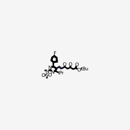 CC(C)c1nc(N(C)S(C)(=O)=O)nc(-c2ccc(F)cc2)c1/C=C/C(=O)CC(=O)CC(=O)OC(C)(C)C